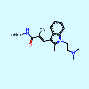 CCCCCCNC(=O)C(C#N)=Cc1c(C)n(CCN(C)C)c2ccccc12